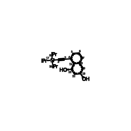 CC(C)[Si](C#Cc1cccc2cc(O)cc(O)c12)(C(C)C)C(C)C